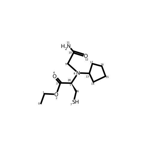 CCOC(=O)[C@H](CS)N(CC(N)=O)C1CCCC1